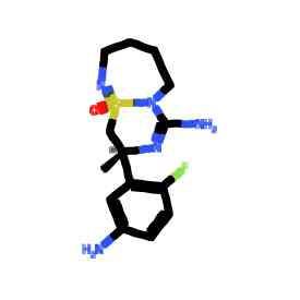 C[C@@]1(c2cc(N)ccc2F)CS2(=O)=NCCCCN2C(N)=N1